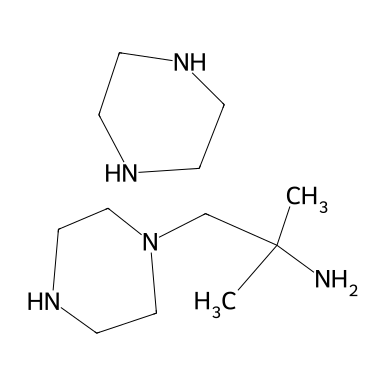 C1CNCCN1.CC(C)(N)CN1CCNCC1